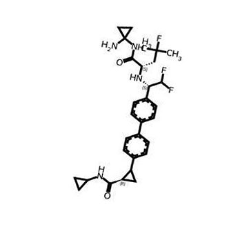 CC(C)(F)C[C@H](N[C@@H](c1ccc(-c2ccc(C3C[C@H]3C(=O)NC3CC3)cc2)cc1)C(F)F)C(=O)NC1(N)CC1